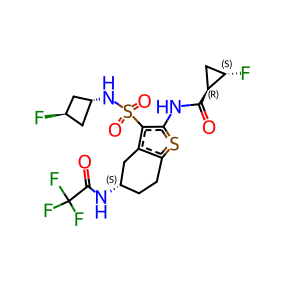 O=C(Nc1sc2c(c1S(=O)(=O)N[C@H]1C[C@H](F)C1)C[C@@H](NC(=O)C(F)(F)F)CC2)[C@H]1C[C@@H]1F